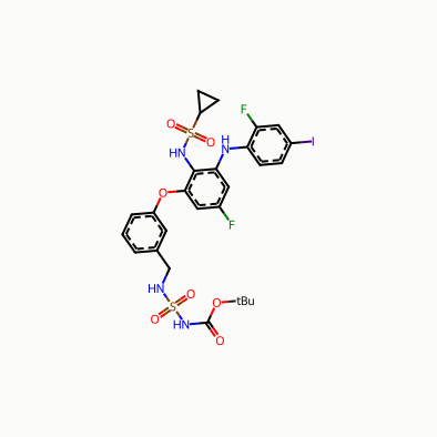 CC(C)(C)OC(=O)NS(=O)(=O)NCc1cccc(Oc2cc(F)cc(Nc3ccc(I)cc3F)c2NS(=O)(=O)C2CC2)c1